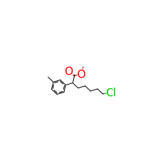 COC(=O)C(CCCCCCl)c1cccc(C)c1